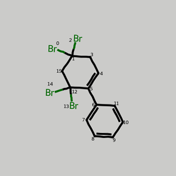 BrC1(Br)CC=C(c2ccccc2)C(Br)(Br)C1